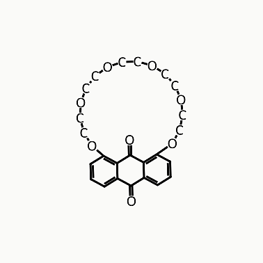 O=C1c2cccc3c2C(=O)c2c(cccc21)OCCOCCOCCOCCOCCO3